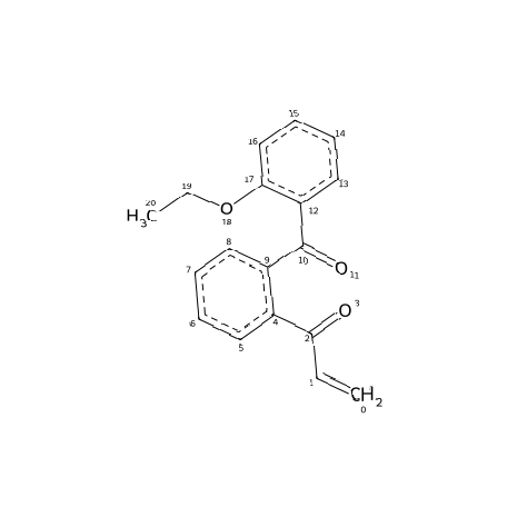 C=CC(=O)c1ccccc1C(=O)c1ccccc1OCC